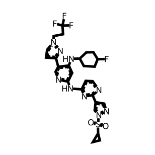 O=S(=O)(C1CC1)n1cc(-c2nccc(Nc3cc(NC4CCC(F)CC4)c(-c4ccn(CCC(F)(F)F)n4)cn3)n2)cn1